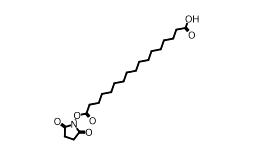 O=C(O)CCCCCCCCCCCCCCCC(=O)ON1C(=O)CCC1=O